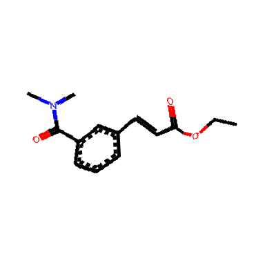 CCOC(=O)/C=C/c1cccc(C(=O)N(C)C)c1